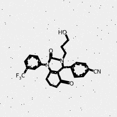 N#Cc1ccc(C2C3=C(CCCC3=O)N(c3cccc(C(F)(F)F)c3)C(=O)N2CCCO)cc1